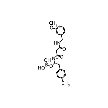 COc1cccc(CNC(=O)CC(=O)N[C@@H](Cc2ccc(C)cc2)OB(O)O)c1